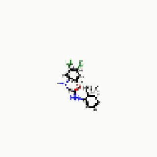 CN(CC(=O)Nc1ccccc1C(=O)O)c1ccc(Br)c(Cl)c1